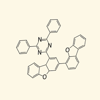 C1=C(c2cccc3c2oc2ccccc23)C=C(c2nc(-c3ccccc3)nc(-c3ccccc3)n2)C2c3ccccc3OC12